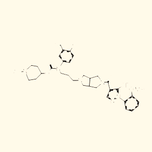 COc1ccccc1-n1ncc(C(=O)N2CC3CN(CCCN(C(=O)OC4CCN(C(C)=O)CC4)c4ccc(C)c(Cl)c4)CC3C2)c1C(F)(F)F